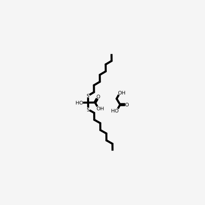 CCCCCCCCSC(O)(SCCCCCCCC)C(=O)O.O=C(O)CO